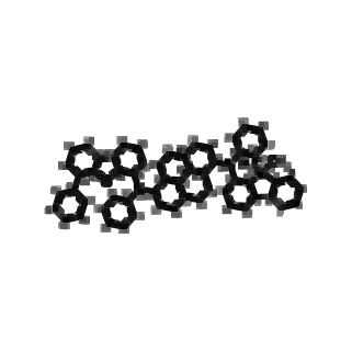 C[Si]1(C)c2ccccc2-c2cccc(N(c3ccccc3)c3ccc4ccc5c(N(c6ccccc6)c6cccc7c6oc6c(-c8ccccc8)cccc67)ccc6ccc3c4c65)c21